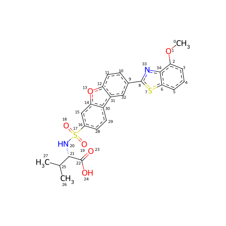 COc1cccc2sc(-c3ccc4oc5cc(S(=O)(=O)N[C@H](C(=O)O)C(C)C)ccc5c4c3)nc12